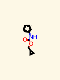 O=C(Nc1c[c]ccc1)OCC1CC1